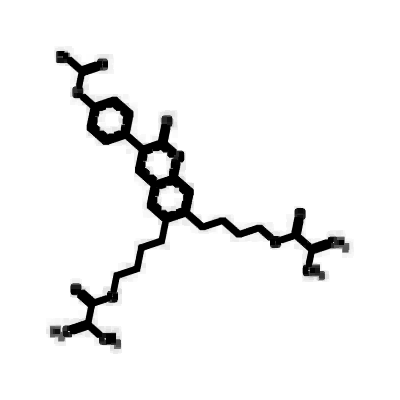 C=C(C)C(=O)OCCCCc1cc2cc(-c3ccc(OC(=O)CC)cc3)c(=O)oc2cc1CCCCOC(=O)C(=C)C